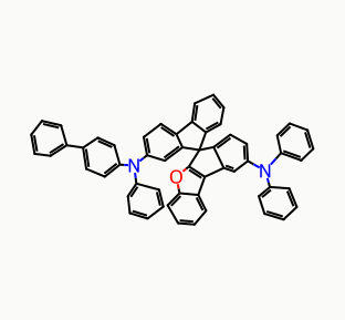 c1ccc(-c2ccc(N(c3ccccc3)c3ccc4c(c3)C3(c5ccccc5-4)c4ccc(N(c5ccccc5)c5ccccc5)cc4-c4c3oc3ccccc43)cc2)cc1